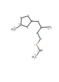 CBSCCC(C)CC1CCC(C)C1